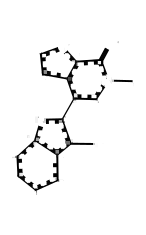 CC(C)c1c(-c2cn(C)c(=O)c3sccc23)[nH]c2ccccc12